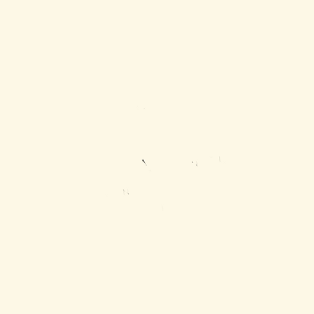 CN1C[C@@H]2CCN(C)c3ccc(Cl)cc3[C@H]2C1